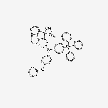 CC1(C)c2cccc3ccc4cc(N(c5ccc(Oc6ccccc6)cc5)c5ccc([Si](c6ccccc6)(c6ccccc6)c6ccccc6)cc5)cc1c4c23